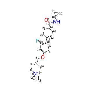 CN1CCC(COc2ccc(C3=CCC(C(=O)NC4CC4)CC3)c(F)c2)CC1